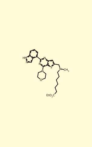 CCOC(=O)CCCCCCN(C)Cc1cc2nc(-c3cccc4[nH]ncc34)nc(N3CCOCC3)c2s1